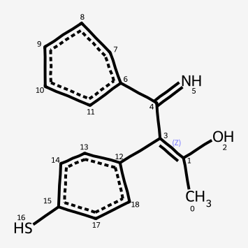 C/C(O)=C(/C(=N)c1ccccc1)c1ccc(S)cc1